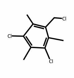 Cc1c(Cl)c(C)c(CCl)c(C)c1Cl